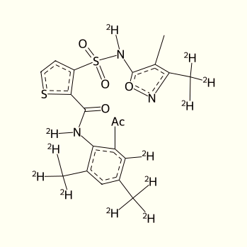 [2H]c1c(C([2H])([2H])[2H])cc(C([2H])([2H])[2H])c(N([2H])C(=O)c2sccc2S(=O)(=O)N([2H])c2onc(C([2H])([2H])[2H])c2C)c1C(C)=O